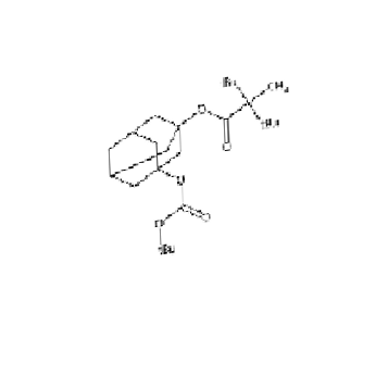 CC(C)(C)OC(=O)OC12CC3CC(C1)CC(OC(=O)C(C)(C(C)(C)C)C(C)(C)C)(C3)C2